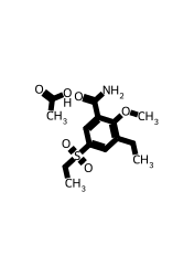 CC(=O)O.CCc1cc(S(=O)(=O)CC)cc(C(N)=O)c1OC